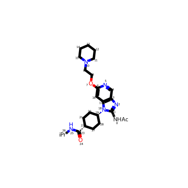 CC(=O)Nc1nc2cnc(OCCN3CCCCC3)cc2n1[C@H]1CC[C@@H](C(=O)NC(C)C)CC1